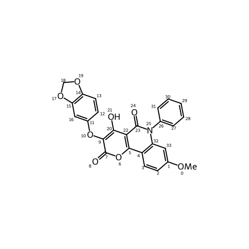 COc1ccc2c3oc(=O)c(Oc4ccc5c(c4)OCO5)c(O)c3c(=O)n(-c3ccccc3)c2c1